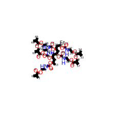 C=C(C)C(=O)OCCNC(=O)OC(C)CC(CC(CC(CC(CC)OC(=O)NCCOC(=O)C(=C)C)OC(=O)NCCOC(=O)C(=C)C)OC(=O)NCCOC(=O)C(=C)C)OC(=O)NCCOC(=O)C(=C)C